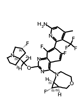 [2H]C([2H])(Oc1nc(N2CCOC[C@H]3[C@H](F)[C@H]32)c2cc(F)c(-c3nc(N)cc(C)c3C(F)(F)F)c(F)c2n1)[C@@]12CCCN1C[C@H](F)C2